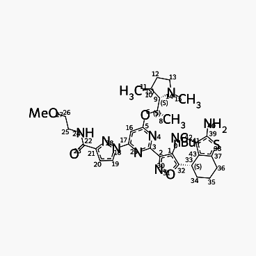 CCCCc1c(-c2nc(O[C@@H](C)[C@@H]3[C@@H](C)CCN3C)cc(-n3ccc(C(=O)NCCOC)n3)n2)noc1[C@H]1CCCc2sc(N)c(C#N)c21